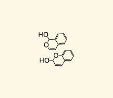 OC1C=Cc2ccccc2O1.OC1OC=Cc2ccccc21